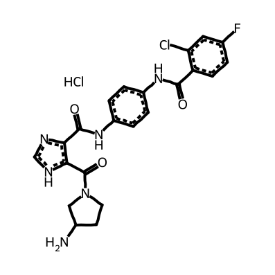 Cl.NC1CCN(C(=O)c2[nH]cnc2C(=O)Nc2ccc(NC(=O)c3ccc(F)cc3Cl)cc2)C1